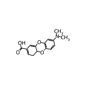 CN(C)c1ccc2c(c1)OC1=CC(C(=O)O)=CCC1O2